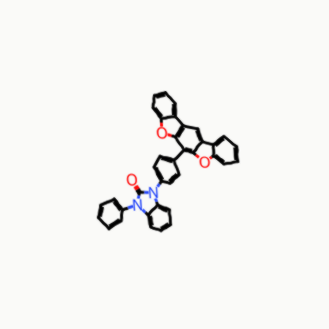 O=c1n(-c2ccccc2)c2ccccc2n1-c1ccc(-c2c3oc4ccccc4c3cc3c2oc2ccccc23)cc1